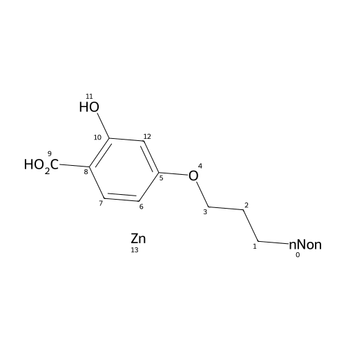 CCCCCCCCCCCCOc1ccc(C(=O)O)c(O)c1.[Zn]